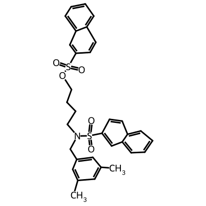 Cc1cc(C)cc(CN(CCCCOS(=O)(=O)c2ccc3ccccc3c2)S(=O)(=O)c2ccc3ccccc3c2)c1